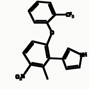 Cc1c([N+](=O)[O-])ccc(Oc2ccccc2C(F)(F)F)c1-c1cc[nH]c1